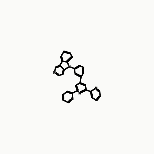 c1ccc(-c2cc(-c3cccc(-n4c5ccccc5c5cnccc54)c3)cc(-c3ccccn3)n2)nc1